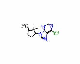 CC(C)C1CCC(n2cnc3c(Cl)ncnc32)C1(C)C